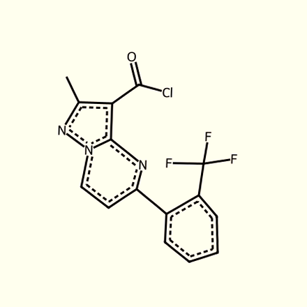 Cc1nn2ccc(-c3ccccc3C(F)(F)F)nc2c1C(=O)Cl